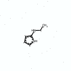 C[CH]Nc1ccc[nH]1